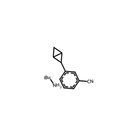 CCC(C)N.N#Cc1cccc(C2C3CC32)c1